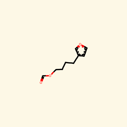 O=[C]OCCCCc1ccoc1